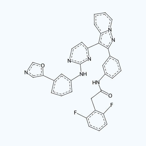 O=C(Cc1c(F)cccc1F)Nc1cccc(-c2nn3ccccc3c2-c2ccnc(Nc3cccc(-c4cnco4)c3)n2)c1